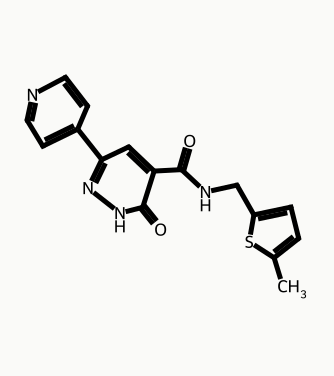 Cc1ccc(CNC(=O)c2cc(-c3ccncc3)n[nH]c2=O)s1